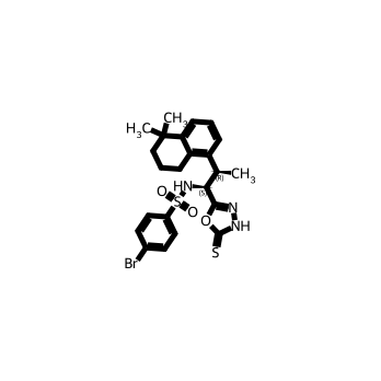 C[C@H](c1cccc2c1CCCC2(C)C)[C@H](NS(=O)(=O)c1ccc(Br)cc1)c1n[nH]c(=S)o1